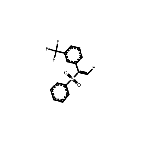 O=S(=O)(/C(=C/F)c1cccc(C(F)(F)F)c1)c1ccccc1